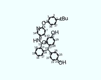 CC(C)(C)c1ccc(Oc2ccc(NC(=O)c3ccccc3C(c3ccc(O)cc3)c3ccc(O)cc3)cn2)cc1